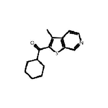 Cc1c(C(=O)C2CCCCC2)sc2cnccc12